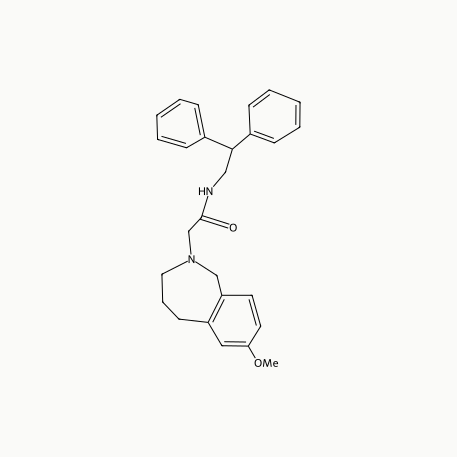 COc1ccc2c(c1)CCCN(CC(=O)NCC(c1ccccc1)c1ccccc1)C2